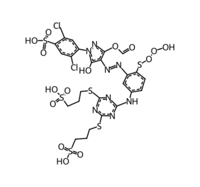 O=COc1nn(-c2cc(Cl)c(S(=O)(=O)O)cc2Cl)c(O)c1/N=N/c1cc(Nc2nc(SCCCS(=O)(=O)O)nc(SCCCS(=O)(=O)O)n2)ccc1SOOO